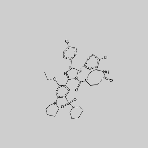 CCOc1cc(N2CCCCC2)c(S(=O)(=O)N2CCCCC2)cc1C1=N[C@H](c2ccc(Cl)cc2)[C@H](c2ccc(Cl)cc2)N1C(=O)N1CCNC(=O)CC1